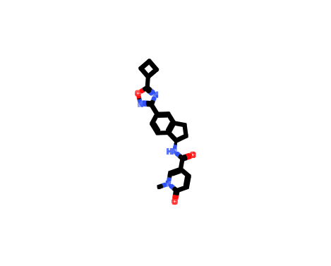 Cn1cc(C(=O)N[C@@H]2CCc3cc(-c4noc(C5CCC5)n4)ccc32)ccc1=O